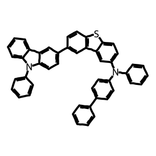 c1ccc(-c2ccc(N(c3ccccc3)c3ccc4sc5ccc(-c6ccc7c(c6)c6ccccc6n7-c6ccccc6)cc5c4c3)cc2)cc1